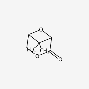 CC1(C)C2COC(=O)C1O2